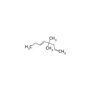 C=CCC(C)(C)C=CCC